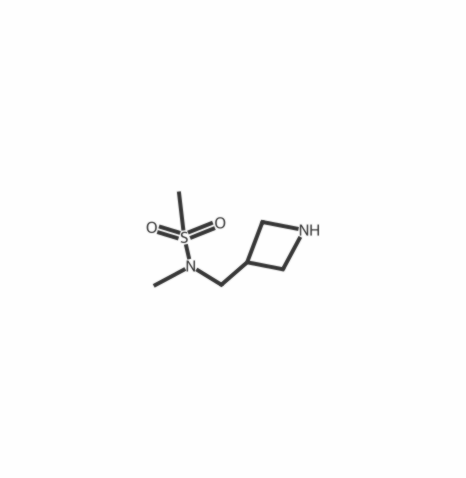 CN(CC1CNC1)S(C)(=O)=O